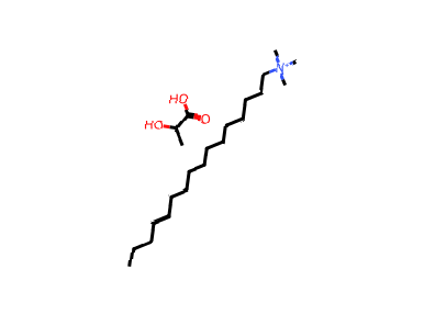 CC(O)C(=O)O.CCCCCCCCCCCCCCCC[N+](C)(C)C